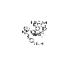 CCCCc1ncc(CSc2ccc(C(=O)O)cc2)n1Cc1ccc(C(=O)O)cc1.COC(=O)c1ccc(S)cc1.O=C(O)C(S)Cc1cccs1